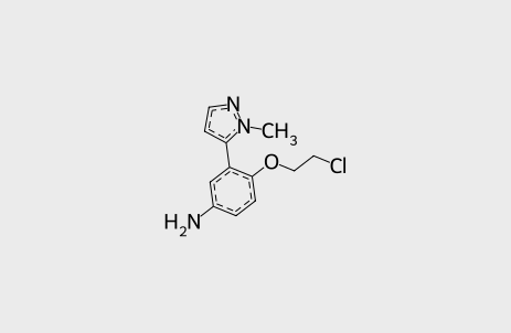 Cn1nccc1-c1cc(N)ccc1OCCCl